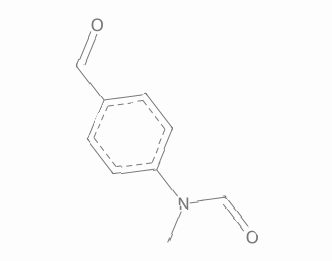 CN(C=O)c1ccc(C=O)cc1